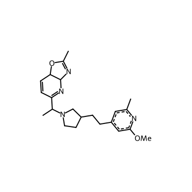 COc1cc(CCC2CCN(C(C)C3=NC4N=C(C)OC4C=C3)C2)cc(C)n1